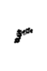 C=C(C)N1C[C@H](C)N(CC(=O)N2CC(C)(C)c3ncc(Cc4ccc(C)cc4)cc32)CC1C